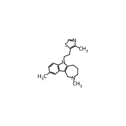 Cc1ccc2c(c1)c1c(n2CCc2scnc2C)CCCN(C)C1